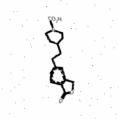 O=C1OCc2cc(CCC3CCN(C(=O)O)CC3)ccc21